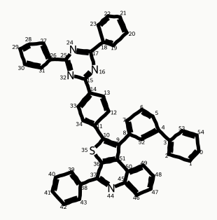 c1ccc(-c2cccc(-c3c(-c4ccc(-c5nc(-c6ccccc6)nc(-c6ccccc6)n5)cc4)sc4c(-c5ccccc5)nc5ccccc5c34)c2)cc1